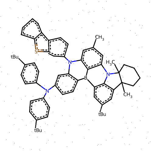 Cc1cc2c3c(c1)N1c4c(cc(C(C)(C)C)cc4C4(C)CCCCC14C)B3c1ccc(N(c3ccc(C(C)(C)C)cc3)c3ccc(C(C)(C)C)cc3)cc1N2c1ccc2c(c1)sc1ccccc12